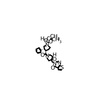 CC(C)(C)OC(=O)N1CC[C@@H](C(=O)N2CCC(O)(Cn3cnc4sccc4c3=O)CC2)[C@H](c2ccccc2)C1